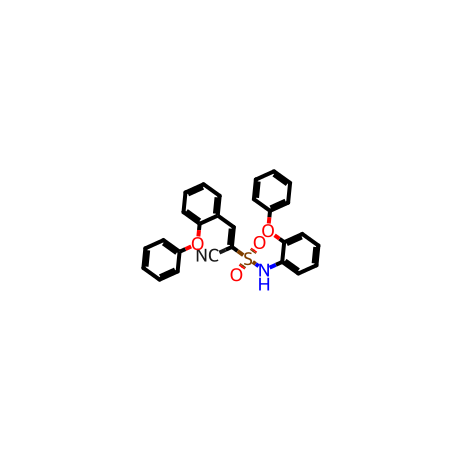 N#C/C(=C\c1ccccc1Oc1ccccc1)S(=O)(=O)Nc1ccccc1Oc1ccccc1